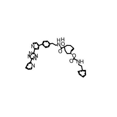 O=C(NCCc1ccccc1)O[C@@H]1/C=C/CC[C@](O)(C(=O)NCCc2ccc(-c3ccnc(-c4nnc(-c5ccccn5)nn4)c3)cc2)CC1